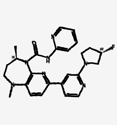 C[C@@H]1CCN(C)c2ccc(-c3ccnc(N4CC[C@H](F)C4)c3)nc2N1C(=O)Nc1ccccn1